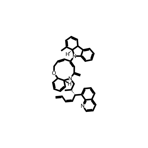 C=C/C=C\[C@@H](c1cccc2cccnc12)C(C)CN1C(=C)/C=C(N2c3ccccc3C3C=CC=C(C)[C@@H]32)\C=C/COC2C=CC=C[C@H]21